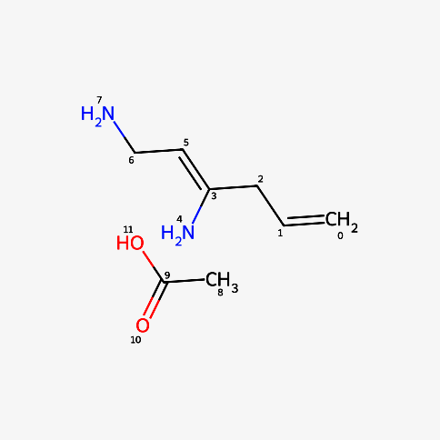 C=CCC(N)=CCN.CC(=O)O